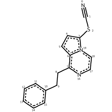 N#CSc1ccc2c(CCc3ccccc3)nccn12